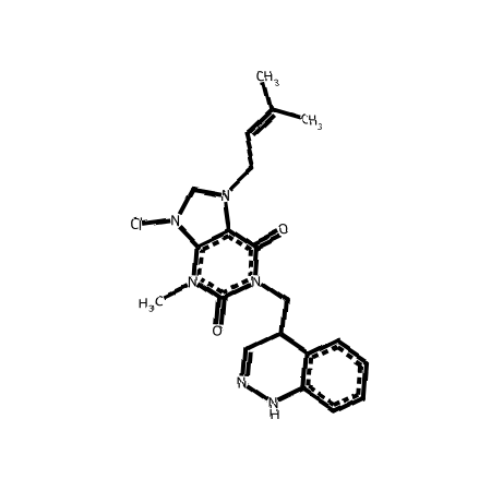 CC(C)=CCN1CN(Cl)c2c1c(=O)n(CC1C=NNc3ccccc31)c(=O)n2C